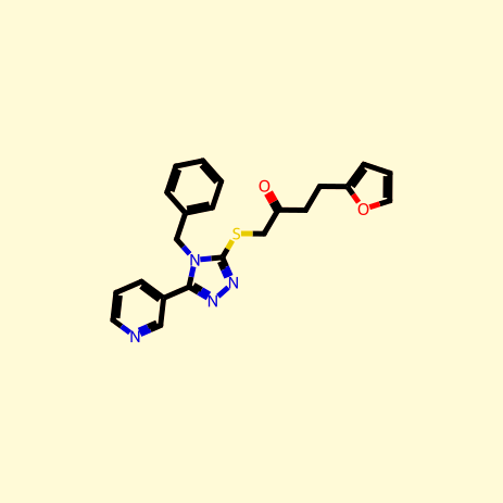 O=C(CCc1ccco1)CSc1nnc(-c2cccnc2)n1Cc1ccccc1